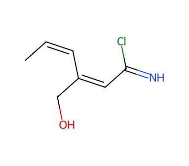 C/C=C\C(=C/C(=N)Cl)CO